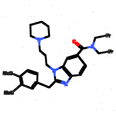 COc1ccc(Cc2nc3ccc(C(=O)N(CC(C)C)CC(C)C)cc3n2CCCN2CCCCC2)cc1OC